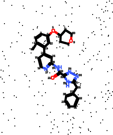 Cc1ccc(OC2CCOCC2)cc1-c1ccnc(NC(=O)c2nnc(Cc3ccccc3)[nH]2)c1